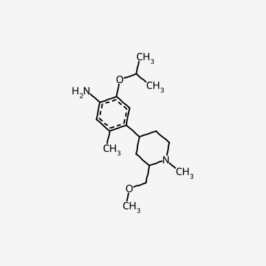 COCC1CC(c2cc(OC(C)C)c(N)cc2C)CCN1C